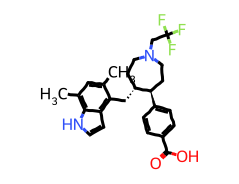 Cc1cc(C)c2[nH]ccc2c1C[C@@H]1CCN(CC(F)(F)F)CC[C@H]1c1ccc(C(=O)O)cc1